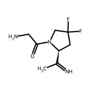 CC(=N)[C@@H]1CC(F)(F)CN1C(=O)CN